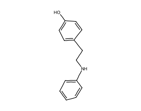 Oc1ccc(CCNc2ccccc2)cc1